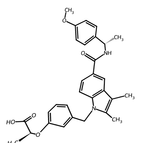 COc1ccc([C@H](C)NC(=O)c2ccc3c(c2)c(C)c(C)n3Cc2cccc(O[C@@H](C)C(=O)O)c2)cc1